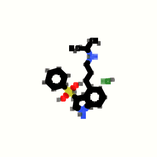 CC(C)NCCCc1cccc2[nH]cc(S(=O)(=O)c3ccccc3)c12.Cl